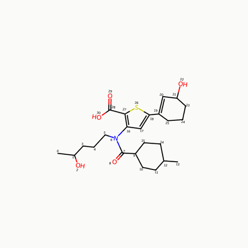 CC(O)CCCN(C(=O)C1CCC(C)CC1)c1cc(C2=CC(O)CCC2)sc1C(=O)O